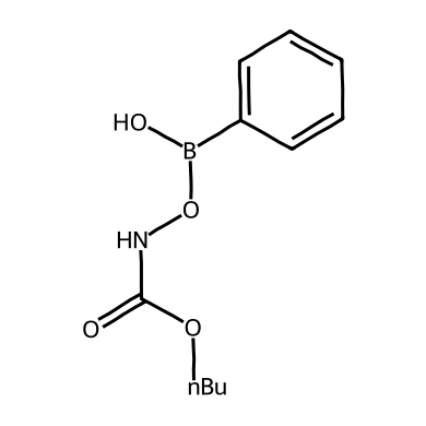 CCCCOC(=O)NOB(O)c1ccccc1